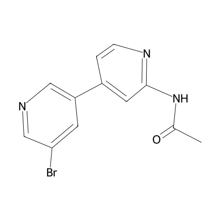 CC(=O)Nc1cc(-c2cncc(Br)c2)ccn1